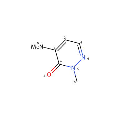 CNc1c[c]nn(C)c1=O